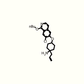 C=CCC1(N)CCC(Oc2cc3ccnc(OCCCC)c3cc2Cl)CC1